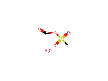 CS(=O)(=O)OC=O.O